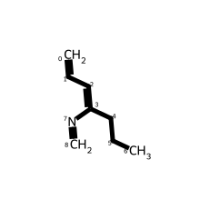 C=C/C=C(/CCC)N=C